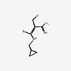 CC(=N)/C(CCl)=C(/Br)NCC1CC1